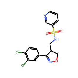 O=S(=O)(NCC1CON=C1c1ccc(Cl)c(Cl)c1)c1cccnc1